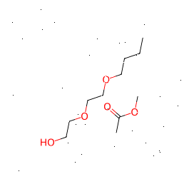 CCCCOCCOCCO.COC(C)=O